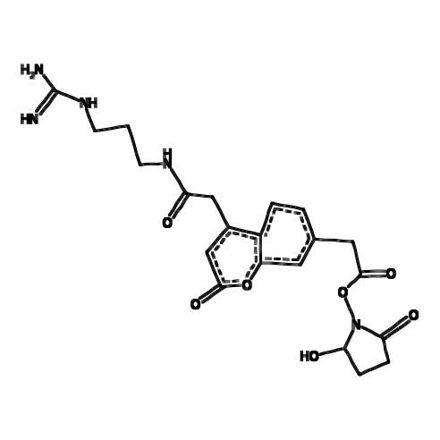 N=C(N)NCCCNC(=O)Cc1cc(=O)oc2cc(CC(=O)ON3C(=O)CCC3O)ccc12